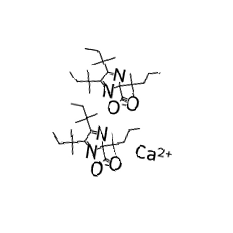 CCCC(C)(C)C1(C(=O)[O-])N=C(C(C)(C)CC)C(C(C)(C)CC)=N1.CCCC(C)(C)C1(C(=O)[O-])N=C(C(C)(C)CC)C(C(C)(C)CC)=N1.[Ca+2]